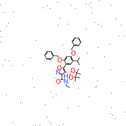 CCNC(=O)c1noc(-c2cc(C(C)C)c(OCc3ccccc3)cc2OCc2ccccc2)c1B1OC(C)(C)C(C)(C)O1